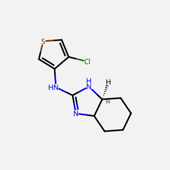 Clc1cscc1NC1=NC2CCCC[C@@H]2N1